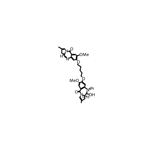 COc1cc2c(cc1OCCCCCOc1cc3c(cc1OC)C(=O)N1C=C(C)C[C@H]1C(O)N3C(C)C)N=C[C@@H]1CC(C)=CN1C2=O